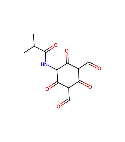 CC(C)C(=O)NC1C(=O)C(C=O)C(=O)C(C=O)C1=O